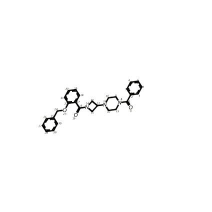 O=C(c1ccccc1)N1CCN(C2CN(C(=O)c3ccccc3OCc3ccccc3)C2)CC1